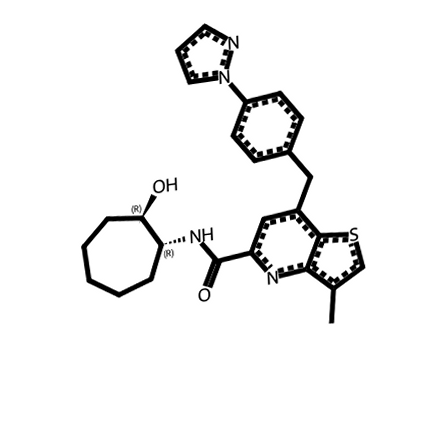 Cc1csc2c(Cc3ccc(-n4cccn4)cc3)cc(C(=O)N[C@@H]3CCCCC[C@H]3O)nc12